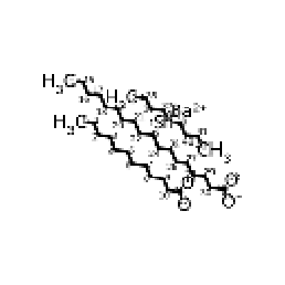 CCCCCCCCCCCC(=O)[O-].CCCCCCCCCCCCCCCCCC(=O)[O-].CCC[CH2][Sn][CH2]CCC.[Ba+2]